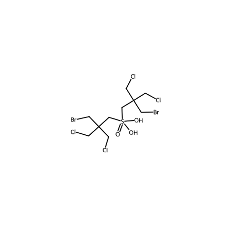 O=S(O)(O)(CC(CCl)(CCl)CBr)CC(CCl)(CCl)CBr